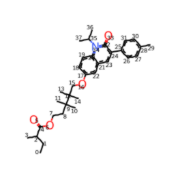 CCC(C)C(=O)OCCC(C)(C)C(C)(C)COc1ccc2c(c1)cc(-c1ccc(C)cc1)c(=O)n2C(C)C